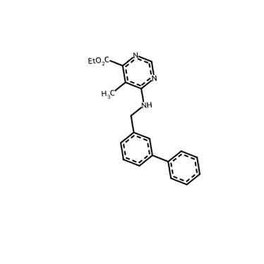 CCOC(=O)c1ncnc(NCc2cccc(-c3ccccc3)c2)c1C